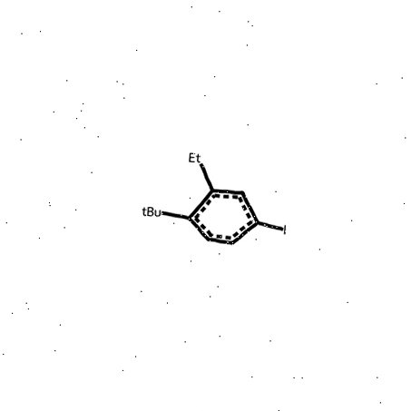 CCc1cc(I)ccc1C(C)(C)C